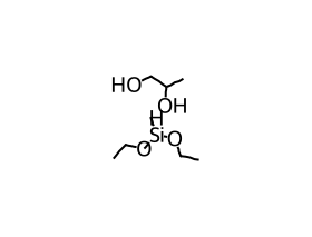 CC(O)CO.CCO[SiH](C)OCC